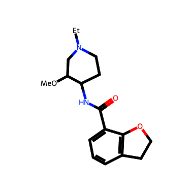 CCN1CCC(NC(=O)c2cccc3c2OCC3)C(OC)C1